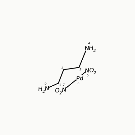 NCCCN.O=[N+]([O-])[Pd][N+](=O)[O-]